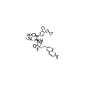 O=C(N[C@H](CN1CCCC1)[C@H](O)c1ccc(OC2CC2)c(Cl)c1)C(F)(F)CCc1ccc2cc(F)ccc2c1